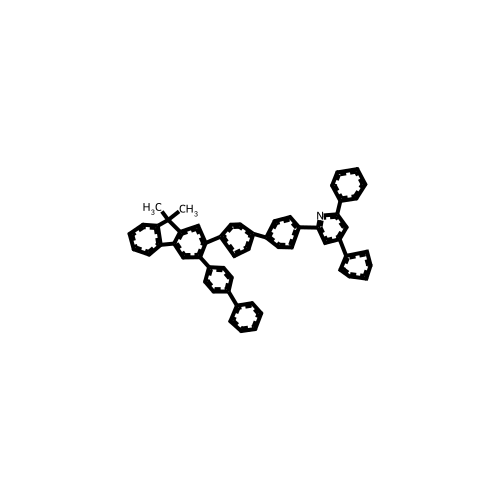 CC1(C)c2ccccc2-c2cc(-c3ccc(-c4ccccc4)cc3)c(-c3ccc(-c4ccc(-c5cc(-c6ccccc6)cc(-c6ccccc6)n5)cc4)cc3)cc21